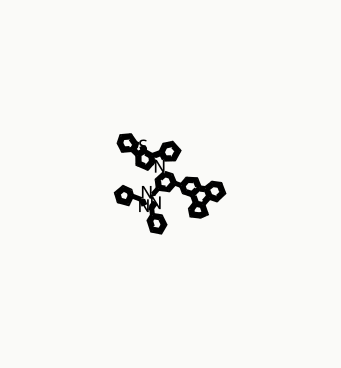 c1ccc(-c2nc(-c3ccccc3)nc(-c3cc(-c4ccc5c6ccccc6c6ccccc6c5c4)cc(-n4c5ccccc5c5c6sc7ccccc7c6ccc54)c3)n2)cc1